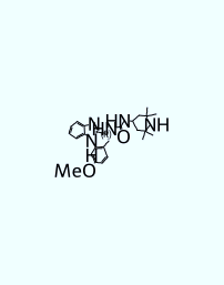 COc1ccc(C[C@@H](NC(=O)NC2CC(C)(C)NC(C)(C)C2)c2nc3ccccc3[nH]2)cc1